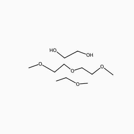 CCOC.COCCOCCOC.OCCO